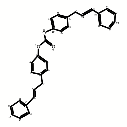 O=C(Oc1ccc(C/C=C/c2ccccc2)cc1)Oc1ccc(C/C=C/c2ccccc2)cc1